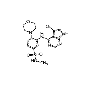 CNS(=O)(=O)c1ccc(N2CCOCC2)c(Nc2ncnc3[nH]cc(Cl)c23)c1